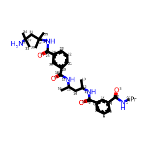 CC(C)NC(=O)c1cccc(C(=O)NC(C)CC(C)NC(=O)c2cccc(C(=O)NC(C)(C)CC(C)(C)N)c2)c1